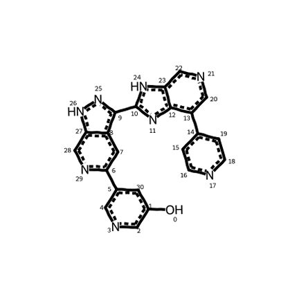 Oc1cncc(-c2cc3c(-c4nc5c(-c6ccncc6)cncc5[nH]4)n[nH]c3cn2)c1